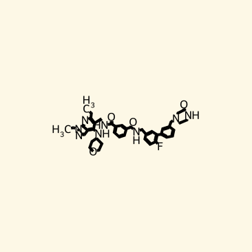 CCc1nc2c(cnn2CC)c(NC2CCOCC2)c1CNC(=O)c1cccc(C(=O)NCc2ccc(F)c(-c3cccc(CN4CCNC(=O)C4)c3)c2)c1